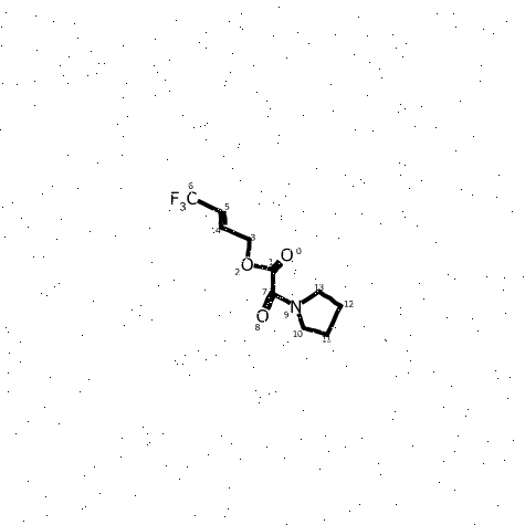 O=C(OC/C=C/C(F)(F)F)C(=O)N1CCCC1